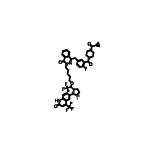 C[C@H]1CC[C@H](C(OCCCCCn2nc(Cc3ccc(F)c(C(=O)N4CCN(C(=O)C5CC5)CC4)c3)c3ccccc3c2=O)C(F)(F)F)N1c1ccc2[nH]c(=O)cc(C(F)(F)F)c2c1